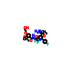 COc1cc(C(=O)NC[C@@](O)(c2cc3c(c(-c4ccc(F)cc4)n2)OCC3(C)CN)C(F)(F)F)ccc1OCCO